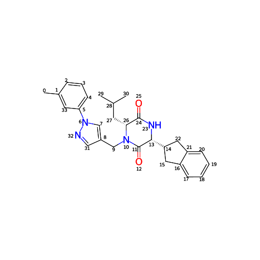 Cc1cccc(-n2cc(CN3C(=O)[C@@H](C4Cc5ccccc5C4)NC(=O)[C@H]3CC(C)C)cn2)c1